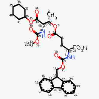 C[C@H](OC(=O)CC[C@H](NC(=O)OCC1c2ccccc2-c2ccccc21)C(=O)O)[C@H](NC(=O)OC(C)(C)C)C(=O)OC1CCCCC1